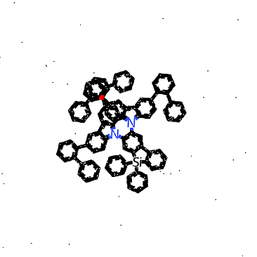 c1ccc(-c2ccccc2-c2ccc3c(c2)c2cc(-c4ccccc4-c4ccccc4)ccc2n3-c2cc3c(cc2-n2c4ccc(-c5ccccc5-c5ccccc5)cc4c4cc(-c5ccccc5-c5ccccc5)ccc42)[Si](c2ccccc2)(c2ccccc2)c2ccccc2-3)cc1